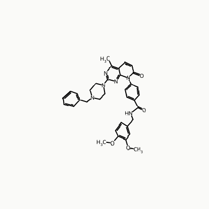 COc1ccc(CNC(=O)c2ccc(-n3c(=O)ccc4c(C)nc(N5CCN(Cc6ccccc6)CC5)nc43)cc2)cc1OC